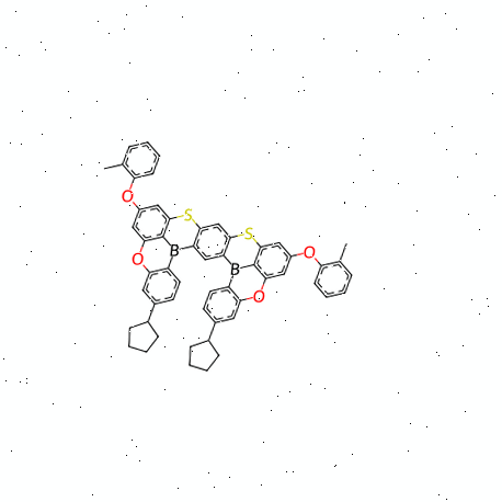 Cc1ccccc1Oc1cc2c3c(c1)Sc1cc4c(cc1B3c1ccc(C3CCCC3)cc1O2)B1c2ccc(C3CCCC3)cc2Oc2cc(Oc3ccccc3C)cc(c21)S4